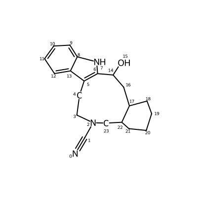 N#CN1CCc2c([nH]c3ccccc23)C(O)CC2CCCCC2C1